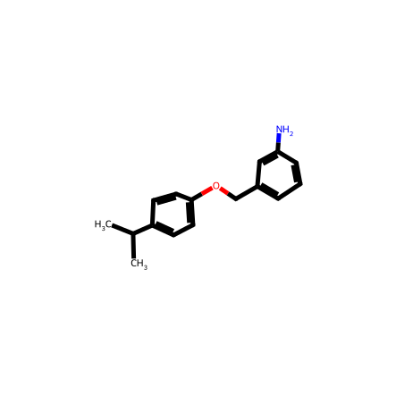 CC(C)c1ccc(OCc2cccc(N)c2)cc1